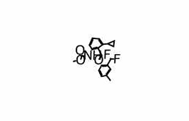 COC(=O)Nc1cccc(C2CC2)c1COc1ccc(C)cc1C(F)F